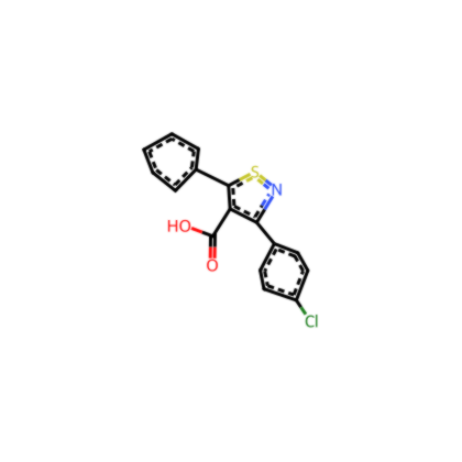 O=C(O)c1c(-c2ccc(Cl)cc2)nsc1-c1ccccc1